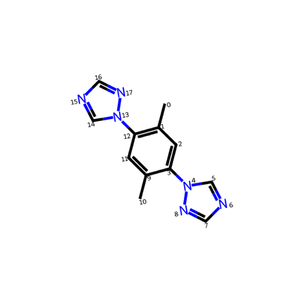 Cc1cc(-n2cncn2)c(C)cc1-n1cncn1